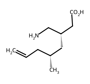 C=CC[C@@H](C)C[C@H](CN)CC(=O)O